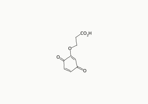 O=C1C=CC(=O)C(OCCC(=O)O)=C1